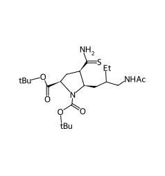 CCC(CNC(C)=O)C[C@@H]1[C@H](C(N)=S)C[C@H](C(=O)OC(C)(C)C)N1C(=O)OC(C)(C)C